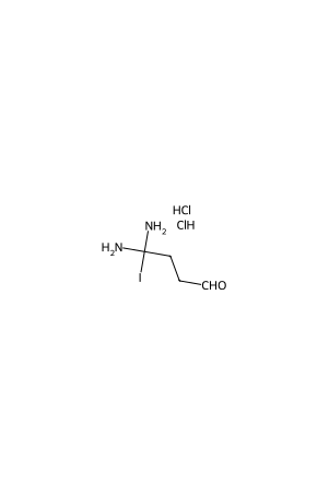 Cl.Cl.NC(N)(I)CCC=O